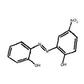 O=[N+]([O-])c1ccc(O)c(N=Nc2ccccc2O)c1